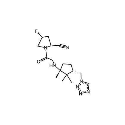 CC1(C)[C@@H](Cn2cnnn2)CC[C@@]1(C)NCC(=O)N1C[C@@H](F)C[C@H]1C#N